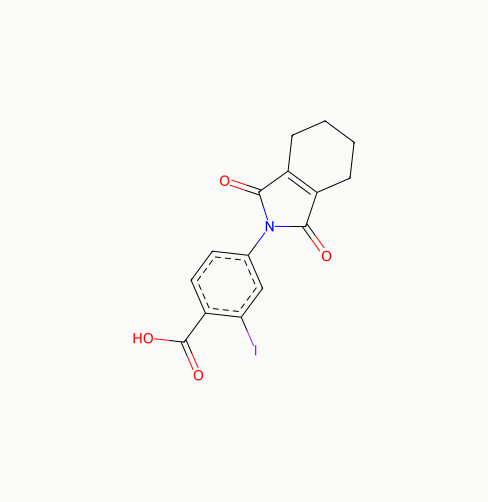 O=C(O)c1ccc(N2C(=O)C3=C(CCCC3)C2=O)cc1I